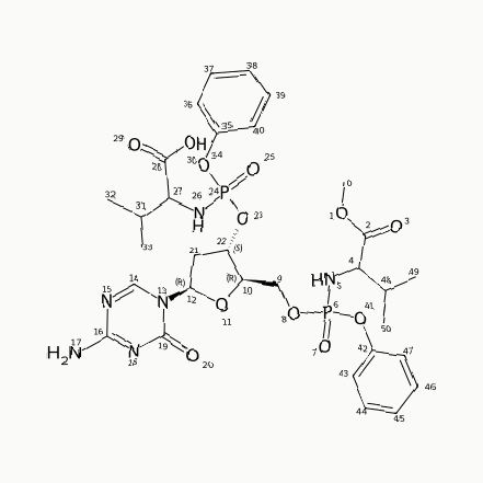 COC(=O)C(NP(=O)(OC[C@H]1O[C@@H](n2cnc(N)nc2=O)C[C@@H]1OP(=O)(NC(C(=O)O)C(C)C)Oc1ccccc1)Oc1ccccc1)C(C)C